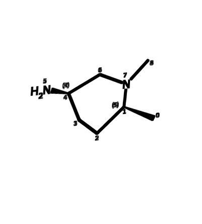 C[C@H]1CC[C@@H](N)CN1C